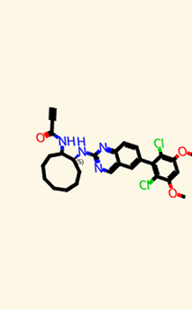 C#CC(=O)NC1CCCCCCC[C@@H]1Nc1ncc2cc(-c3c(Cl)c(OC)cc(OC)c3Cl)ccc2n1